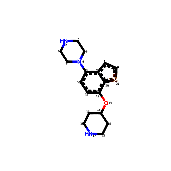 c1cc2c(N3CCNCC3)ccc(OC3CCNCC3)c2s1